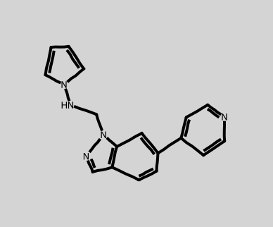 c1ccn(NCn2ncc3ccc(-c4ccncc4)cc32)c1